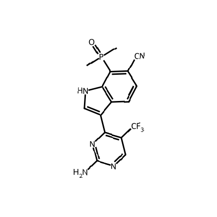 CP(C)(=O)c1c(C#N)ccc2c(-c3nc(N)ncc3C(F)(F)F)c[nH]c12